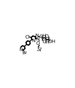 C[Si](C)(C)CCOCn1c(O[C@@H]2CO[C@H]3[C@@H]2OC[C@H]3O)nc2cc(Cl)c(-c3ccc(-c4ccnc(Br)c4)cc3)nc21